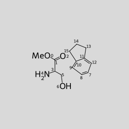 COC(=O)C(N)CO.c1ccc2c(c1)CCC2